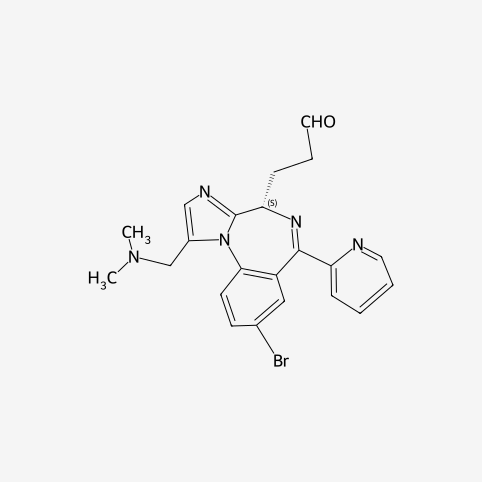 CN(C)Cc1cnc2n1-c1ccc(Br)cc1C(c1ccccn1)=N[C@H]2CCC=O